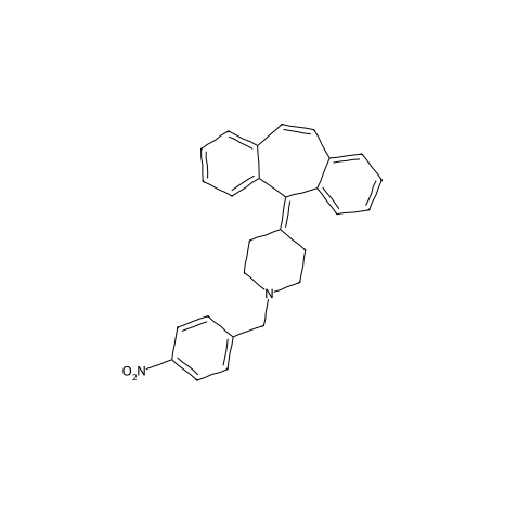 O=[N+]([O-])c1ccc(CN2CCC(=C3c4ccccc4C=Cc4ccccc43)CC2)cc1